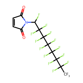 O=C1C=CC(=O)N1C(F)C(F)(F)C(F)(F)C(F)(F)C(F)(F)C(F)(F)C(F)(F)C(F)(F)F